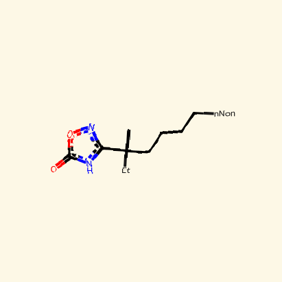 CCCCCCCCCCCCCC(C)(CC)c1noc(=O)[nH]1